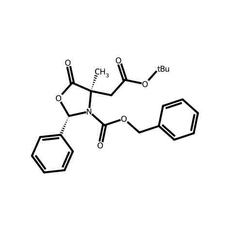 CC(C)(C)OC(=O)C[C@]1(C)C(=O)O[C@@H](c2ccccc2)N1C(=O)OCc1ccccc1